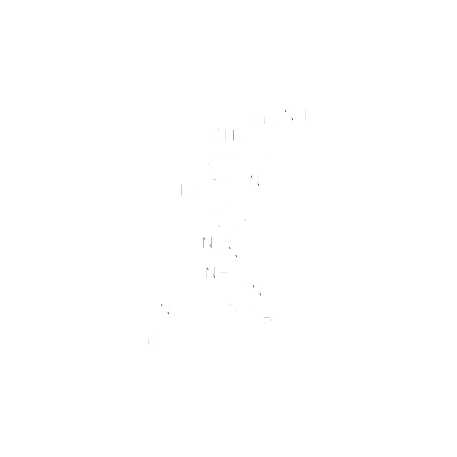 Cc1cc(C)cc(N(CCCC(N)=O)Cc2ccc3nc(NCCCN4CCOCC4)n(Cc4cccc(Br)n4)c3c2)c1